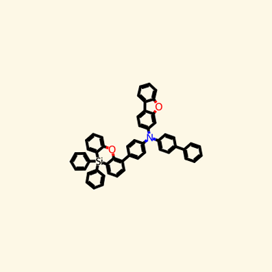 c1ccc(-c2ccc(N(c3ccc(-c4cccc5c4Oc4ccccc4[Si]5(c4ccccc4)c4ccccc4)cc3)c3ccc4c(c3)oc3ccccc34)cc2)cc1